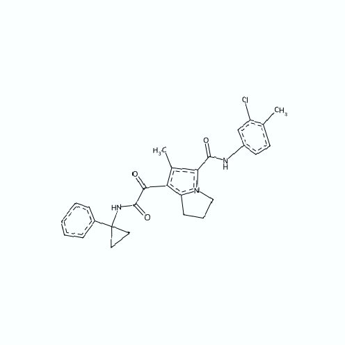 Cc1ccc(NC(=O)c2c(C)c(C(=O)C(=O)NC3(c4ccccc4)CC3)c3n2CCC3)cc1Cl